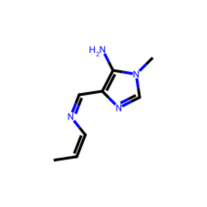 C/C=C\N=C/c1ncn(C)c1N